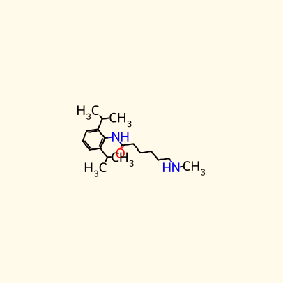 CNCCCCCC(=O)Nc1c(C(C)C)cccc1C(C)C